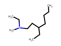 CCCCC(CC)CCN(C)CC